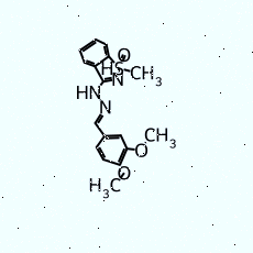 COc1ccc(/C=N/NC2=N[SH](C)(=O)c3ccccc32)cc1OC